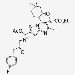 CCOC(=O)[C@@H](O)c1c(C)nc2cc(/C(=N/CC(=O)Cc3ccc(F)cc3)OC(C)=O)nn2c1C1CCC(C)(C)CC1